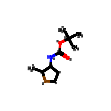 CC1SCCC1NC(=O)OC(C)(C)C